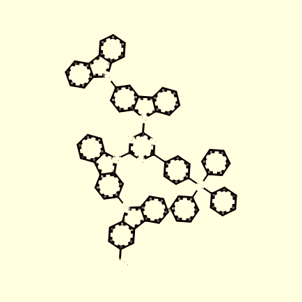 N#Cc1ccc2c(c1)c1ccccc1n2-c1ccc2c3ccccc3n(-c3nc(-c4ccc(S(c5ccccc5)(c5ccccc5)c5ccccc5)cc4)nc(-n4c5ccccc5c5cc(-n6c7ccccc7c7ccccc76)ccc54)n3)c2c1